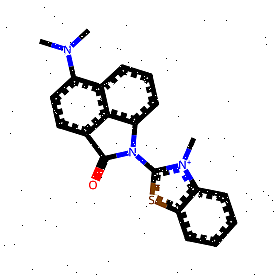 CN(C)c1ccc2c3c(cccc13)N(c1sc3ccccc3[n+]1C)C2=O